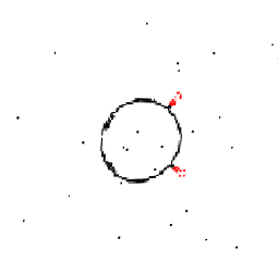 O=C1CCCC=CCC=CCCCC(=O)CCC1